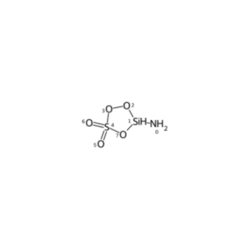 N[SiH]1OOS(=O)(=O)O1